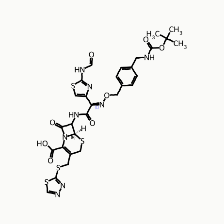 CC(C)(C)OC(=O)NCc1ccc(CO/N=C(/C(=O)NC2C(=O)N3C(C(=O)O)=C(CSc4nncs4)CS[C@H]23)c2csc(NC=O)n2)cc1